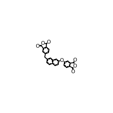 O=C1OC(=O)c2cc(Cc3ccc4ccc(Oc5ccc6c(c5)C(=O)OC6=O)cc4c3)ccc21